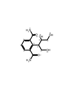 NC(=O)c1cccc(C(N)=O)c1C(CO)C(O)CO